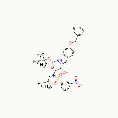 CC(C)CN(C[C@@H](O)[C@H](Cc1ccc(OCc2ccccc2)cc1)NC(=O)OC(C)(C)C)S(=O)(=O)c1cccc([N+](=O)[O-])c1